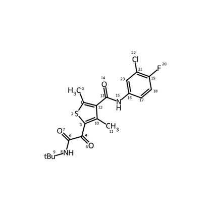 Cc1sc(C(=O)C(=O)NC(C)(C)C)c(C)c1C(=O)Nc1ccc(F)c(Cl)c1